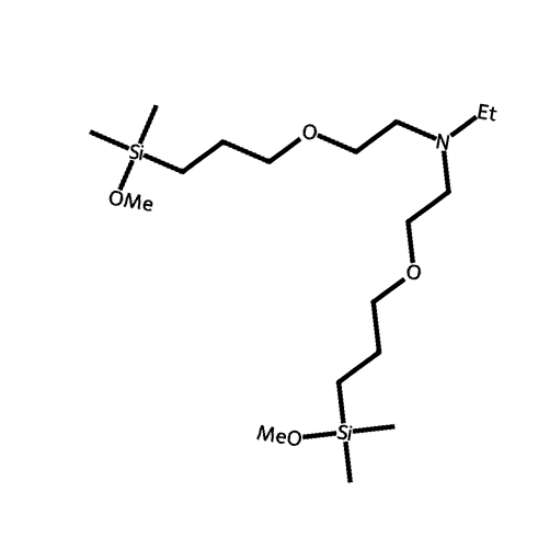 CCN(CCOCCC[Si](C)(C)OC)CCOCCC[Si](C)(C)OC